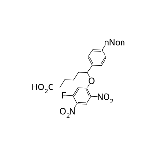 CCCCCCCCCc1ccc(C(CCCCC(=O)O)Oc2cc(F)c([N+](=O)[O-])cc2[N+](=O)[O-])cc1